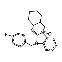 [O-][N+]12CC3CCCCC3N=C1N(Cc1ccc(F)cc1)c1ccccc12